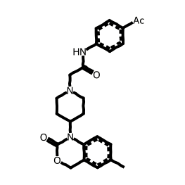 CC(=O)c1ccc(NC(=O)CN2CCC(N3C(=O)OCc4cc(C)ccc43)CC2)cc1